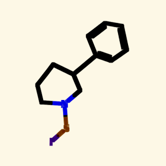 ISN1CCCC(c2ccccc2)C1